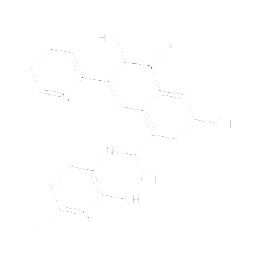 Cc1cc(C(C)Nc2ccc(Cl)nc2C)c2oc(-c3ccccn3)c(C)c(=O)c2c1